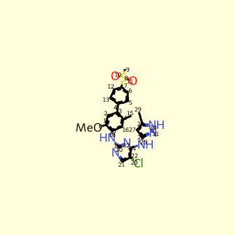 COc1cc(-c2ccc(S(C)(=O)=O)cc2)c(C)cc1Nc1ncc(Cl)c(Nc2cc(C)[nH]n2)n1